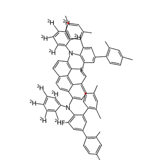 [2H]c1c([2H])c([2H])c(N(c2c(F)cc(-c3ccc(C)cc3C)cc2-c2ccc(C)cc2C)c2ccc3ccc4c(N(c5c(F)cc(-c6ccc(C)cc6C)cc5-c5ccc(C)cc5C)c5c([2H])c([2H])c([2H])c([2H])c5[2H])ccc5ccc2c3c54)c([2H])c1[2H]